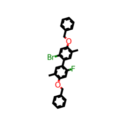 Cc1cc(-c2cc(C)c(OCc3ccccc3)cc2Br)c(F)cc1OCc1ccccc1